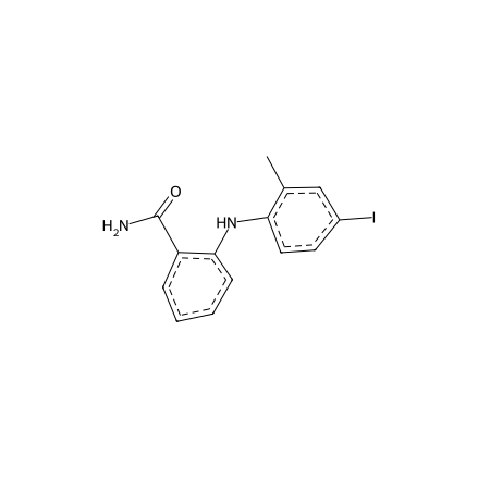 Cc1cc(I)ccc1Nc1ccccc1C(N)=O